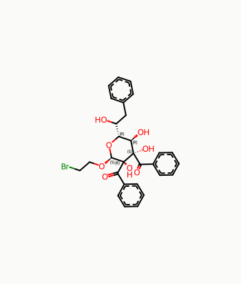 O=C(c1ccccc1)[C@]1(O)[C@@H](OCCBr)O[C@H](C(O)Cc2ccccc2)[C@@H](O)[C@@]1(O)C(=O)c1ccccc1